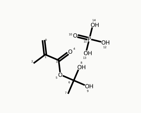 C=C(C)C(=O)OC(C)(O)O.O=P(O)(O)O